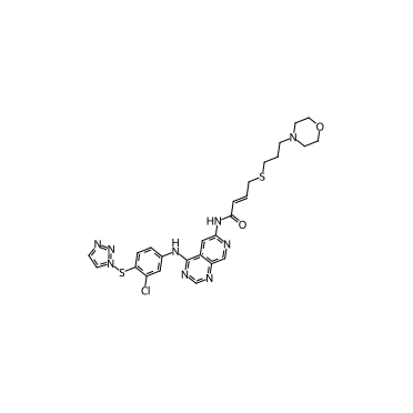 O=C(C=CCSCCCN1CCOCC1)Nc1cc2c(Nc3ccc(Sn4ccnn4)c(Cl)c3)ncnc2cn1